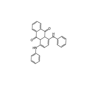 O=C1c2ccccc2C(=O)C2C(Nc3ccccc3)=CC=C(Nc3ccccc3)C12